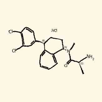 C[C@H](N)C(=O)N(C)[C@H]1CC[C@H](c2ccc(Cl)c(Cl)c2)c2ccccc21.Cl